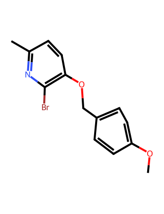 COc1ccc(COc2ccc(C)nc2Br)cc1